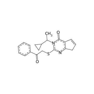 CC(C1CC1)n1c(SCC(=O)c2ccccc2)nc2c(c1=O)C=CC2